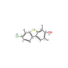 Cc1cc2c(sc3c(C)c(Cl)ccc32)c(C)c1O